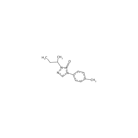 CCC(C)n1ncn(-c2ccc(C)cc2)c1=O